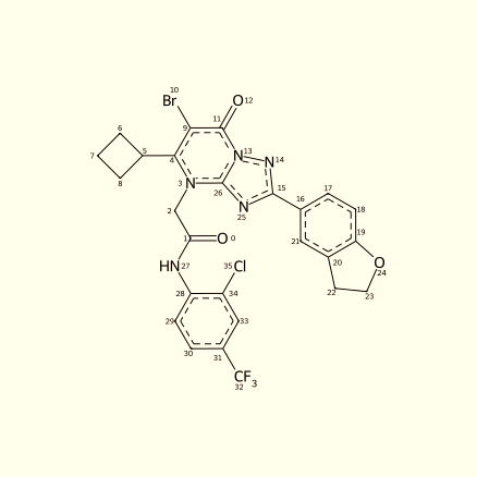 O=C(Cn1c(C2CCC2)c(Br)c(=O)n2nc(-c3ccc4c(c3)CCO4)nc12)Nc1ccc(C(F)(F)F)cc1Cl